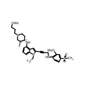 COCCCN1CC[C@H](Nc2cccc3c2cc(C#CCNc2ccc(S(C)(=O)=O)cc2OC)n3CC(F)(F)F)[C@@H](F)C1